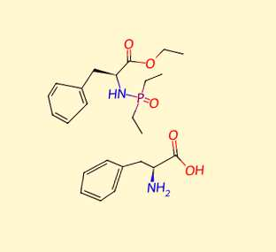 CCOC(=O)[C@H](Cc1ccccc1)NP(=O)(CC)CC.N[C@@H](Cc1ccccc1)C(=O)O